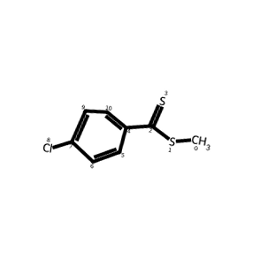 CSC(=S)c1ccc(Cl)cc1